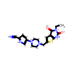 CCn1c(=O)[nH]c2sc(CN3CCN(c4ccc(C#N)nc4)CC3)cc2c1=O